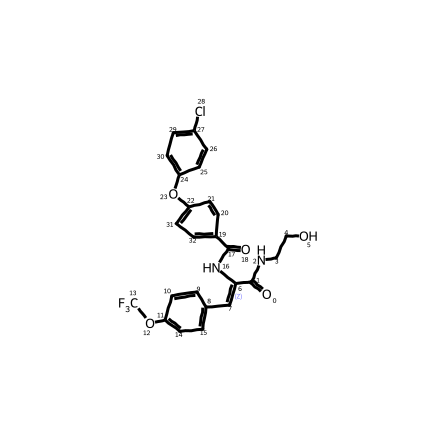 O=C(NCCO)/C(=C/c1ccc(OC(F)(F)F)cc1)NC(=O)c1ccc(Oc2ccc(Cl)cc2)cc1